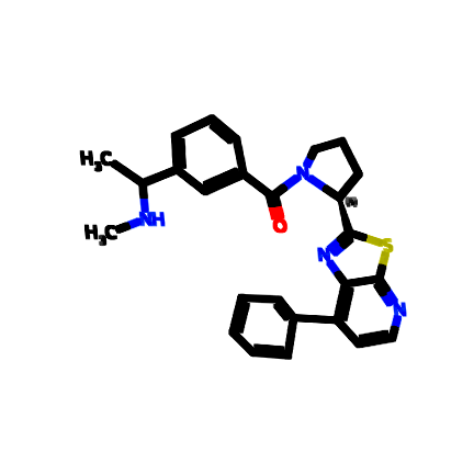 CNC(C)c1cccc(C(=O)N2CCC[C@H]2c2nc3c(-c4ccccc4)ccnc3s2)c1